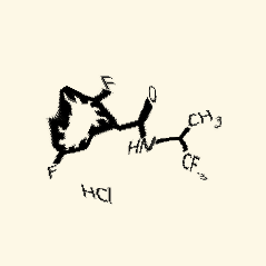 CC(NC(=O)c1cc(F)ccc1F)C(F)(F)F.Cl